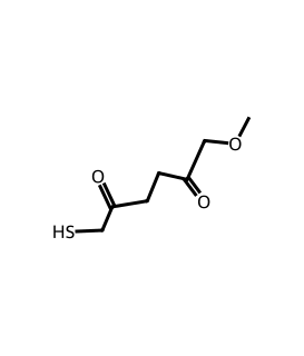 COCC(=O)CCC(=O)CS